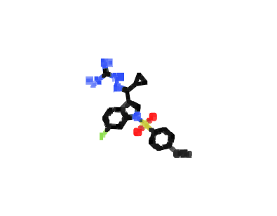 COc1ccc(S(=O)(=O)n2cc(C(=NNC(=N)N)C3CC3)c3ccc(F)cc32)cc1